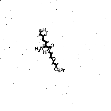 CCCOCCOCCNC(=O)[C@@H](N)CCCCN